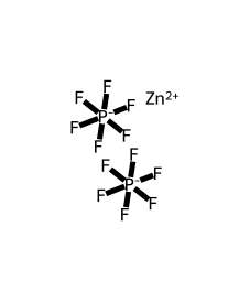 F[P-](F)(F)(F)(F)F.F[P-](F)(F)(F)(F)F.[Zn+2]